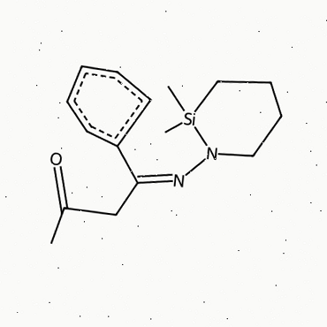 CC(=O)CC(=NN1CCCC[Si]1(C)C)c1ccccc1